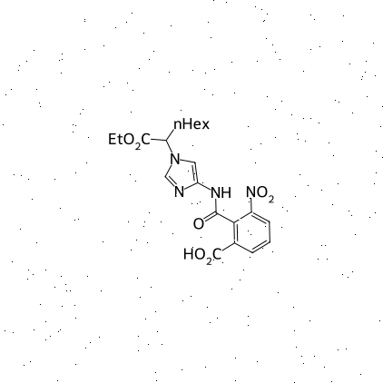 CCCCCCC(C(=O)OCC)n1cnc(NC(=O)c2c(C(=O)O)cccc2[N+](=O)[O-])c1